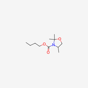 CCCCOC(=O)N1C(C)COC1(C)C